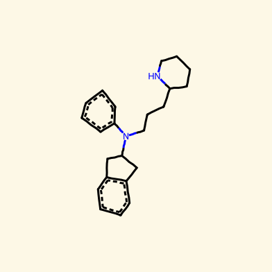 c1ccc(N(CCCC2CCCCN2)C2Cc3ccccc3C2)cc1